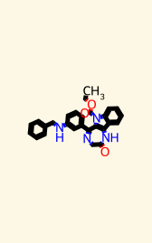 CCOC(=O)n1c2c(c3ccccc31)NC(=O)CN=C2c1cccc(NCc2ccccc2)c1